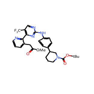 COC(=O)Cc1cccnc1-c1nc(Nc2ccc(C3CCCN(C(=O)OC(C)(C)C)C3)cc2)ncc1C(F)(F)F